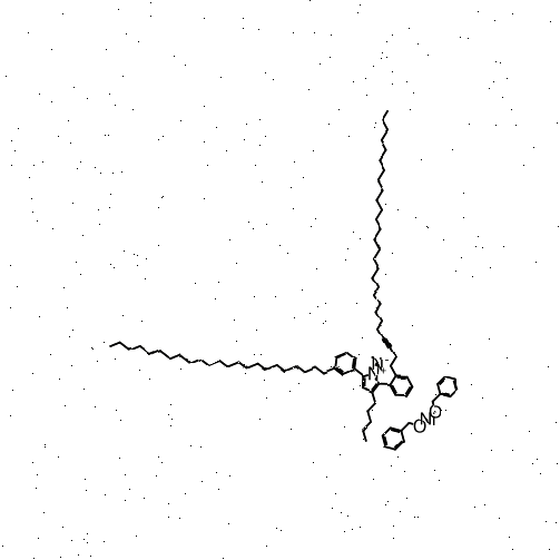 CCCCCCCCCCCCCCCCCCCCCCCCC#CCCc1ccccc1C1=C(CCCCC)C=C(c2cccc(CCCCCCCCCCCCCCCCCCCCCCC)c2)[N+]1=[N-].c1ccc(C[O][Ni][O]Cc2ccccc2)cc1